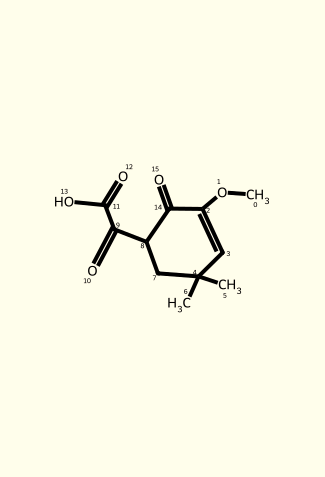 COC1=CC(C)(C)CC(C(=O)C(=O)O)C1=O